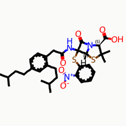 CC(C)CCc1ccc(CC(=O)NC2(Sc3ccccc3[N+](=O)[O-])C(=O)N3[C@@H](C(=O)O)C(C)(C)S[C@@H]32)c(CCC(C)C)c1